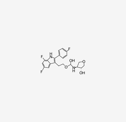 OC(N[C@H]1COC[C@@H]1O)OCCc1c(-c2ccc(F)cc2)[nH]c2c(F)cc(F)cc12